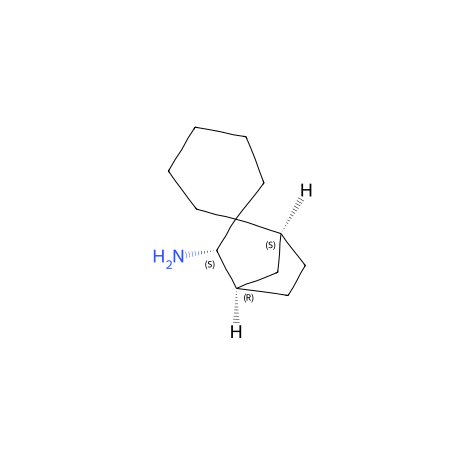 N[C@H]1[C@@H]2CC[C@@H](C2)C12CCCCC2